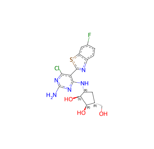 Nc1nc(Cl)c(-c2nc3ccc(F)cc3s2)c(N[C@@H]2C[C@H](CO)[C@@H](O)[C@H]2O)n1